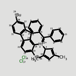 CC1=C[CH]([Hf+2](=[C](c2ccccc2)c2ccccc2)[c]2c(C(C)(C)C)ccc3c2Cc2cc(C(C)(C)C)ccc2-3)C(C)=C1.[Cl-].[Cl-]